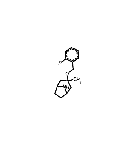 CC1(OCc2ccccc2F)CC2CCC(C1)N2